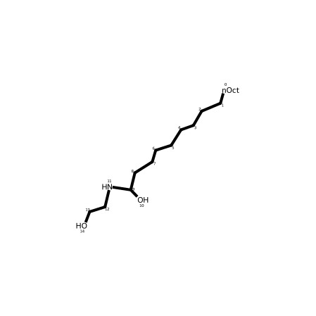 CCCCCCCCCCCCCCCCC(O)NCCO